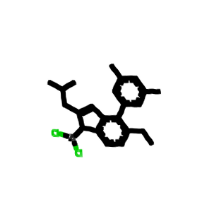 CCc1ccc2c(c1-c1cc(C)cc(C)c1)C=C(CC(C)C)[CH]2[Zr]([Cl])[Cl]